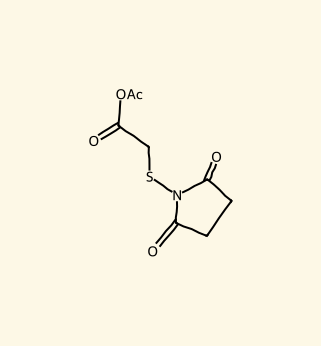 CC(=O)OC(=O)CSN1C(=O)CCC1=O